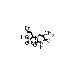 CCC=CC(n1cc(C)c(=O)[nH]c1=O)P(=O)(O)O